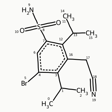 CC(C)c1c(Br)cc(S(N)(=O)=O)c(C(C)C)c1CC#N